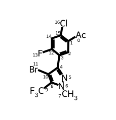 CC(=O)c1cc(-c2nn(C)c(C(F)(F)F)c2Br)c(F)cc1Cl